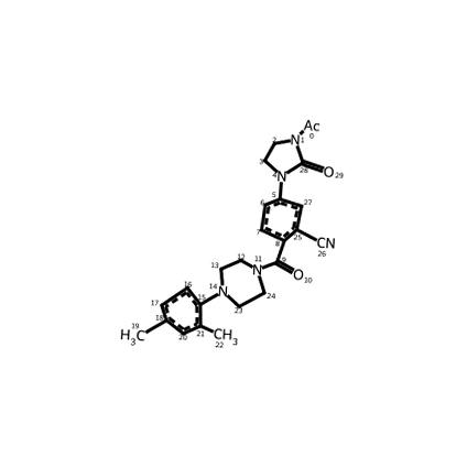 CC(=O)N1CCN(c2ccc(C(=O)N3CCN(c4ccc(C)cc4C)CC3)c(C#N)c2)C1=O